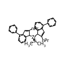 CCCC1=Cc2c(-c3ccccc3)cccc2[CH]1[Zr]([CH]1C(CCC)=Cc2c(-c3ccccc3)cccc21)=[Si](C)C